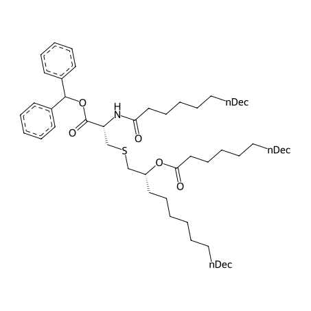 CCCCCCCCCCCCCCCC[C@H](CSC[C@@H](NC(=O)CCCCCCCCCCCCCCC)C(=O)OC(c1ccccc1)c1ccccc1)OC(=O)CCCCCCCCCCCCCCC